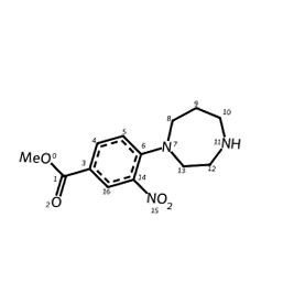 COC(=O)c1ccc(N2CCCNCC2)c([N+](=O)[O-])c1